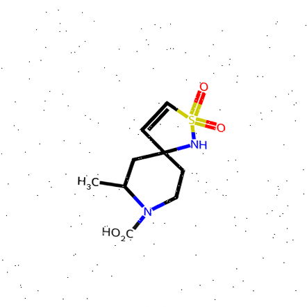 CC1CC2(C=CS(=O)(=O)N2)CCN1C(=O)O